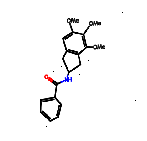 COc1cc2c(c(OC)c1OC)CC(NC(=O)c1ccccc1)C2